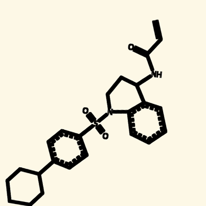 C=CC(=O)NC1CCN(S(=O)(=O)c2ccc(C3CCCCC3)cc2)c2ccccc21